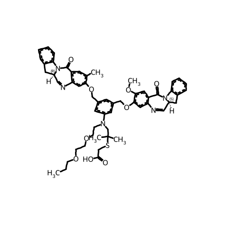 CCCOCCOCCN(CC(C)(C)SCC(=O)O)c1cc(COc2cc3c(cc2C)C(=O)N2c4ccccc4C[C@@H]2C=N3)cc(COc2cc3c(cc2OC)C(=O)N2c4ccccc4C[C@H]2C=N3)c1